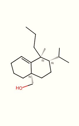 CCC[C@]1(C)C2=CCCC[C@]2(CO)CC[C@H]1C(C)C